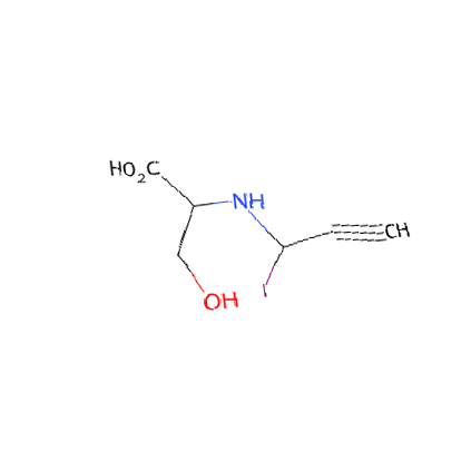 C#CC(I)NC(CO)C(=O)O